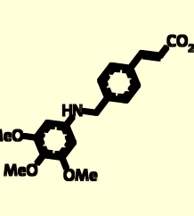 COc1cc(NCc2ccc(C=CC(=O)O)cc2)cc(OC)c1OC